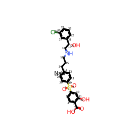 O=C(O)c1ccc(S(=O)(=O)c2ccc(CCCNC[C@@H](O)c3cccc(Cl)c3)cc2)cc1O.[NaH]